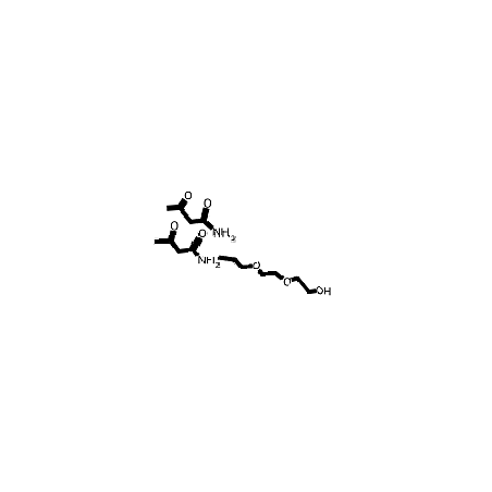 CC(=O)CC(N)=O.CC(=O)CC(N)=O.CCCOCCOCCO